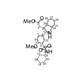 COC(=O)Cc1c(-c2ccc(OC)c(S(=O)(=O)NC3CCCCC3)c2)[nH]c2ccccc12